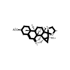 CC(=O)O[C@H]1CC[C@@]2(C)C(=CC(=O)[C@H]3[C@@H]4[C@@H]5C[C@@H]5C5(OCCO5)[C@@]4(C)CC[C@@H]32)C1